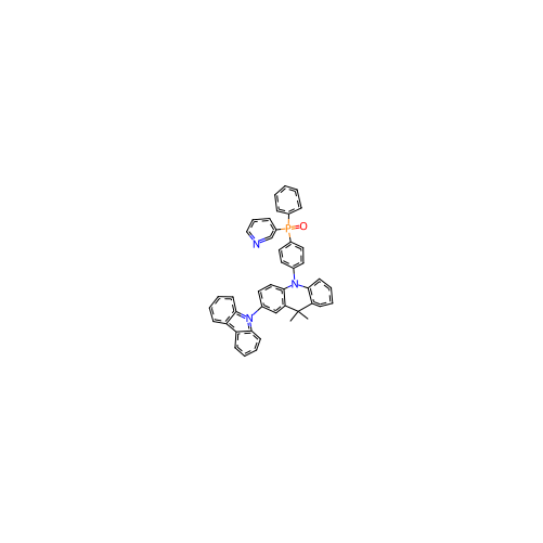 CC1(C)c2ccccc2N(c2ccc(P(=O)(c3ccccc3)c3cccnc3)cc2)c2ccc(-n3c4ccccc4c4ccccc43)cc21